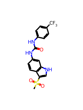 CS(=O)(=O)c1c[nH]c2cc(NC(=O)Nc3ccc(C(F)(F)F)cc3)ccc12